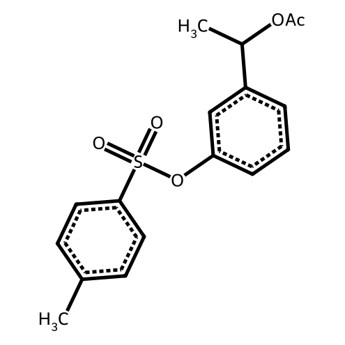 CC(=O)OC(C)c1cccc(OS(=O)(=O)c2ccc(C)cc2)c1